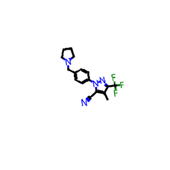 Cc1c(C(F)(F)F)nn(-c2ccc(CN3CCCC3)cc2)c1C#N